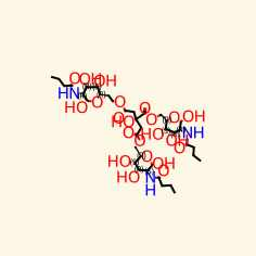 CCCC(=O)N[C@@H]1C(O)O[C@H](COC(=O)CC(O)(CC(=O)OCC[C@H]2OC(O)[C@H](NC(=O)CCC)[C@@H](O)[C@@H]2O)C(=O)OC[C@H]2OC(O)[C@H](NC(=O)CCC)[C@@H](O)[C@@H]2O)[C@@H](O)[C@@H]1O